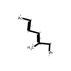 CC(=O)/C=C/C=C(\C)CC(C)C